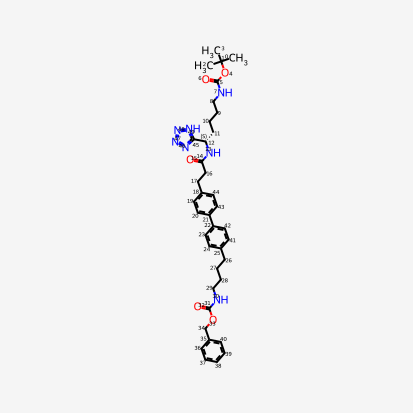 CC(C)(C)OC(=O)NCCCC[C@H](NC(=O)CCc1ccc(-c2ccc(CCCCNC(=O)OCc3ccccc3)cc2)cc1)c1nnn[nH]1